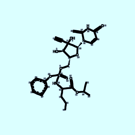 C#C[C@@]1(O)[C@H](O)[C@@H](COP(=S)(NC(CCC)C(=O)OC(C)C)Oc2ccccc2)O[C@H]1N1C=CC(=O)NC1=C